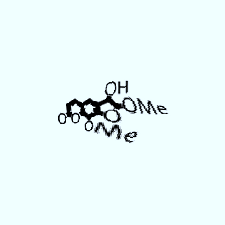 COc1c2c(cc3ccc(=O)oc13)C(O)C(OC)O2